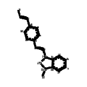 C/C=C/c1ccc(/C=C/B2SB(C)c3ccccc32)cc1